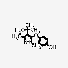 Cc1nn(C)c(Oc2ccc(O)cc2)c1C(C)(C)C